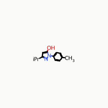 Cc1ccc(-n2nc(C(C)C)cc2O)cc1